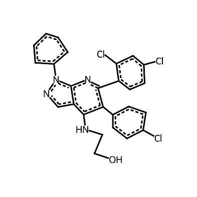 OCCNc1c(-c2ccc(Cl)cc2)c(-c2ccc(Cl)cc2Cl)nc2c1cnn2-c1ccccc1